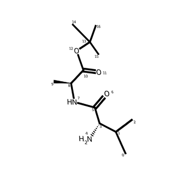 CC(C)[C@H](N)C(=O)N[C@@H](C)C(=O)OC(C)(C)C